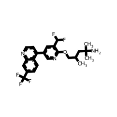 CC(COc1ncc(-c2ccnc3cc(C(F)(F)F)ccc23)cc1C(F)F)CC(C)(C)N